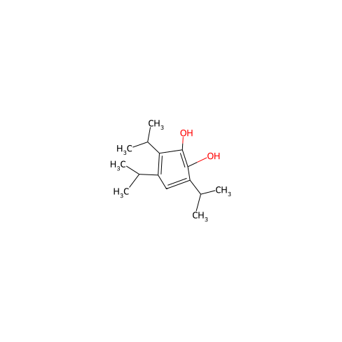 CC(C)c1cc(C(C)C)c(C(C)C)c(O)c1O